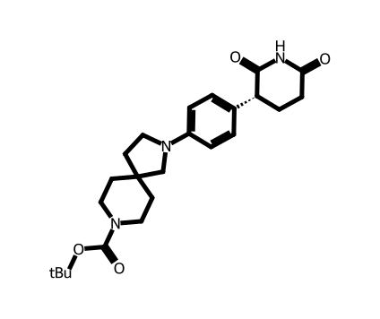 CC(C)(C)OC(=O)N1CCC2(CC1)CCN(c1ccc([C@H]3CCC(=O)NC3=O)cc1)C2